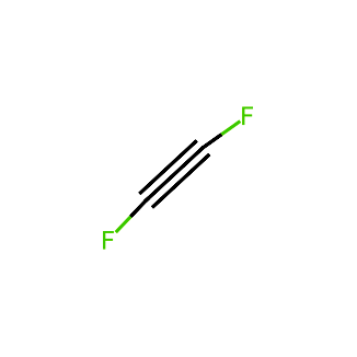 FC#CF